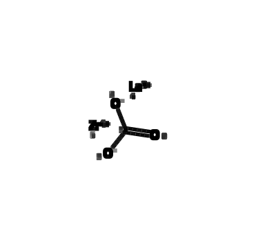 O=C([O-])[O-].[La+3].[Zr+4]